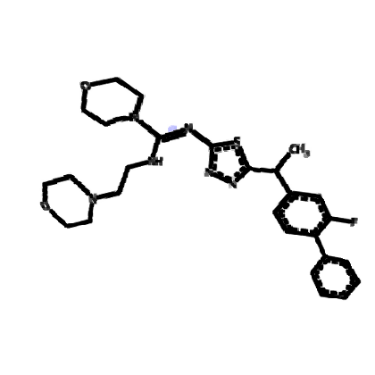 CC(c1ccc(-c2ccccc2)c(F)c1)c1nnc(/N=C(\NCCN2CCOCC2)N2CCOCC2)s1